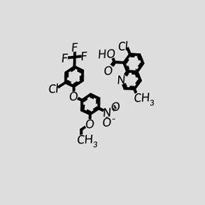 CCOc1cc(Oc2ccc(C(F)(F)F)cc2Cl)ccc1[N+](=O)[O-].Cc1cnc2c(C(=O)O)c(Cl)ccc2c1